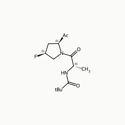 CC(=O)[C@@H]1C[C@H](F)CN1C(=O)[C@H](C)NC(=O)C(C)(C)C